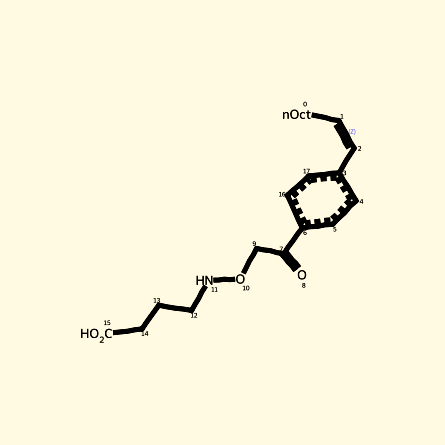 CCCCCCCC/C=C\c1ccc(C(=O)CONCCCC(=O)O)cc1